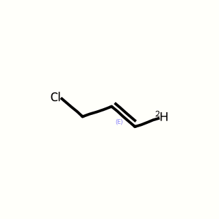 [2H]/C=C/CCl